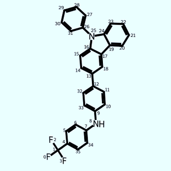 FC(F)(F)c1ccc(Nc2ccc(-c3ccc4c(c3)c3ccccc3n4-c3ccccc3)cc2)cc1